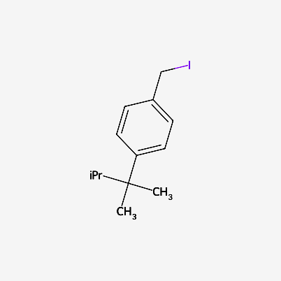 CC(C)C(C)(C)c1ccc(CI)cc1